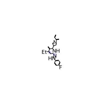 C=CC(=C)N1CC(C(=N)C(=C)/C(=C\C=N/Nc2ccc(F)cc2)CC)C1